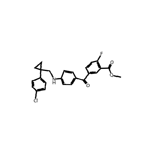 COC(=O)c1cc(C(=O)c2ccc(NCC3(c4ccc(Cl)cc4)CC3)cc2)ccc1F